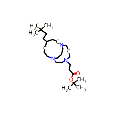 CC(C)(C)CCC1CCCN2CCCN(CCCN(CCC(=O)OC(C)(C)C)CC2)CC1